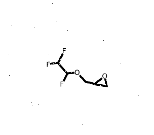 FC(F)C(F)OCC1CO1